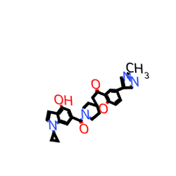 Cn1cc(-c2ccc3c(c2)C(=O)CC2(CCN(C(=O)c4cc(O)c5ccn(C6CC6)c5c4)CC2)O3)cn1